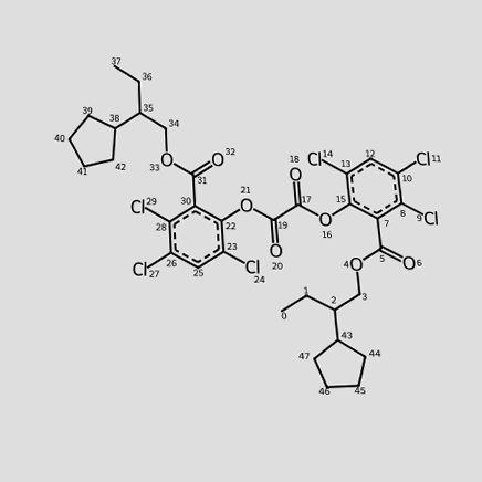 CCC(COC(=O)c1c(Cl)c(Cl)cc(Cl)c1OC(=O)C(=O)Oc1c(Cl)cc(Cl)c(Cl)c1C(=O)OCC(CC)C1CCCC1)C1CCCC1